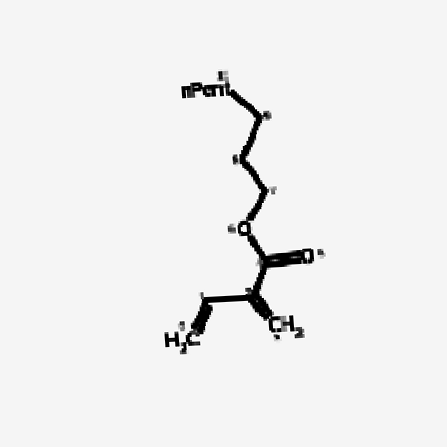 C=CC(=C)C(=O)OCCCCCCCC